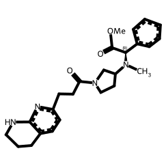 COC(=O)[C@@H](c1ccccc1)N(C)C1CCN(C(=O)CCc2ccc3c(n2)NCCC3)C1